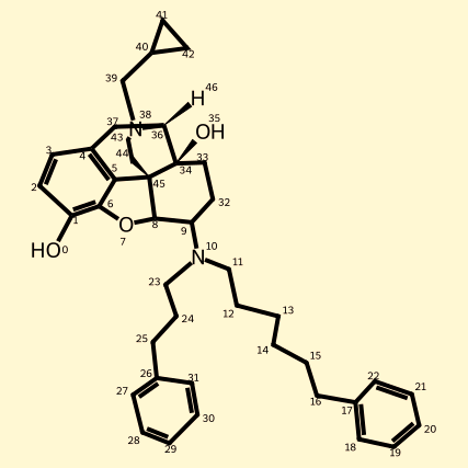 Oc1ccc2c3c1OC1C(N(CCCCCCc4ccccc4)CCCc4ccccc4)CC[C@@]4(O)[C@@H](C2)N(CC2CC2)CC[C@]314